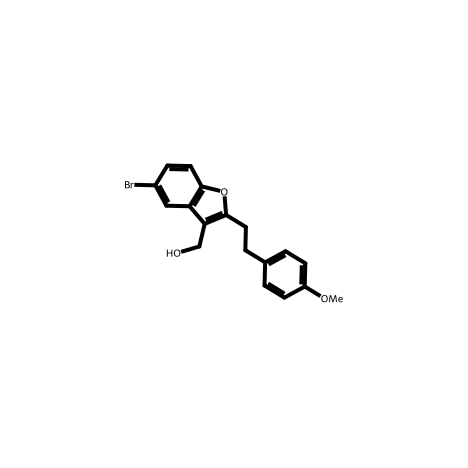 COc1ccc(CCc2oc3ccc(Br)cc3c2CO)cc1